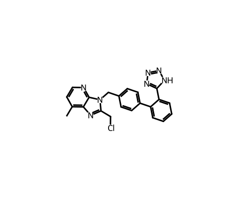 Cc1ccnc2c1nc(CCl)n2Cc1ccc(-c2ccccc2-c2nnn[nH]2)cc1